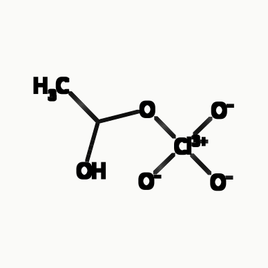 CC(O)O[Cl+3]([O-])([O-])[O-]